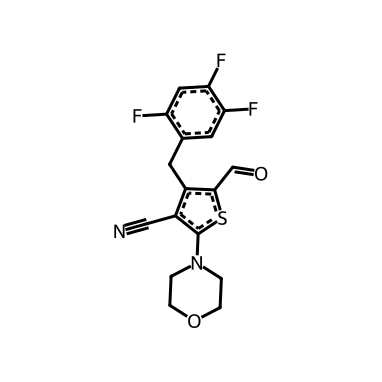 N#Cc1c(N2CCOCC2)sc(C=O)c1Cc1cc(F)c(F)cc1F